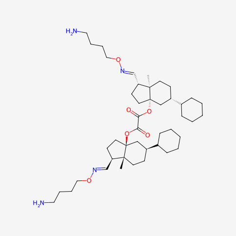 C[C@]12CC[C@H](C3CCCCC3)C[C@@]1(OC(=O)C(=O)O[C@]13CC[C@H](C=NOCCCCN)[C@@]1(C)CC[C@H](C1CCCCC1)C3)CC[C@@H]2C=NOCCCCN